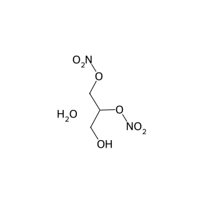 O.O=[N+]([O-])OCC(CO)O[N+](=O)[O-]